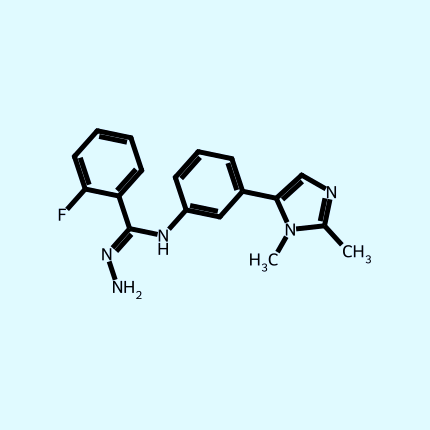 Cc1ncc(-c2cccc(N/C(=N\N)c3ccccc3F)c2)n1C